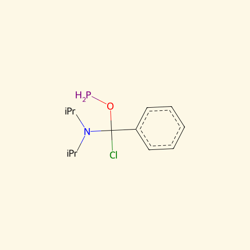 CC(C)N(C(C)C)C(Cl)(OP)c1ccccc1